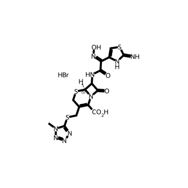 Br.Cn1nnnc1SCC1=C(C(=O)O)N2C(=O)C(NC(=O)C(=NO)c3csc(=N)[nH]3)[C@@H]2SC1